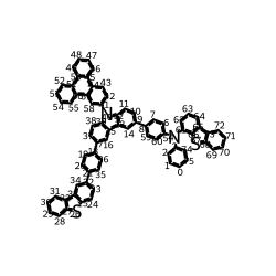 c1ccc(N(c2ccc(-c3ccc4c(c3)c3cc(-c5ccc(-c6ccc7sc8ccccc8c7c6)cc5)ccc3n4-c3ccc4c5ccccc5c5ccccc5c4c3)cc2)c2cccc3c2sc2ccccc23)cc1